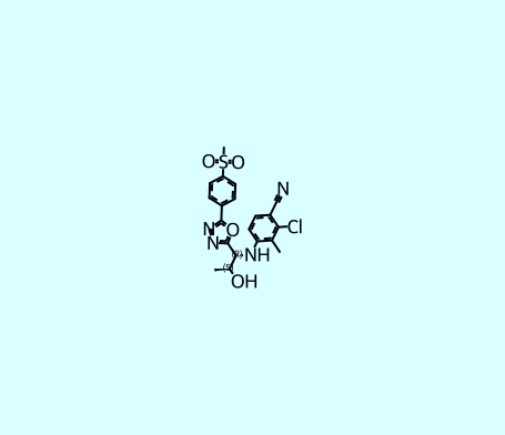 Cc1c(N[C@@H](c2nnc(-c3ccc(S(C)(=O)=O)cc3)o2)[C@H](C)O)ccc(C#N)c1Cl